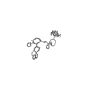 O=C(/C=C/c1cc[c]c(Cl)c1-c1ccc2c(c1)CCOO2)N1CCCC(c2nnn[nH]2)C1